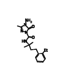 CCc1ccccc1CCC(C)(C)NC(=O)n1nc(C)n(N)c1=O